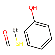 C=O.CCS.Oc1ccccc1